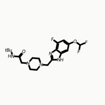 CC(C)(C)NC(=O)CN1CCN(Cc2nc3c(F)cc(OC(F)F)cc3[nH]2)CC1